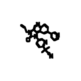 C=CCn1c(=O)n(-c2ccc(C(C)(C)C#N)nc2)c2c3cc(-c4cccnc4)ccc3ncc21